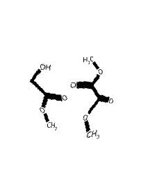 COC(=O)C(=O)OC.COC(=O)CO